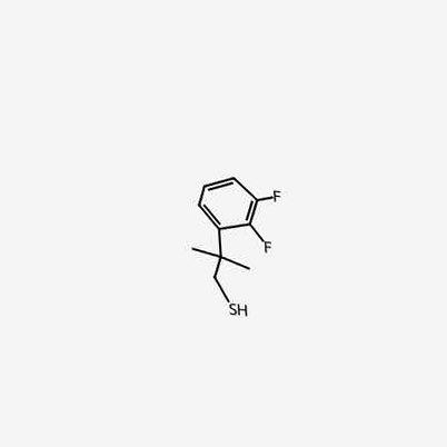 CC(C)(CS)c1cccc(F)c1F